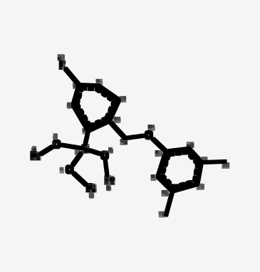 CCO[Si](OCC)(OCC)c1cc(F)ccc1COc1cc(C)cc(C)c1